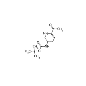 CC(=O)C1=CC=C(NC(=O)OC(C)(C)C)CN1